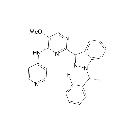 COc1cnc(-c2nn([C@H](C)c3ccccc3F)c3ccccc23)nc1Nc1ccncc1